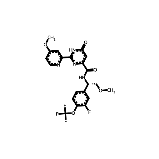 COC[C@@H](NC(=O)c1cc(=O)[nH]c(-c2cc(OC)ccn2)n1)c1ccc(OC(F)(F)F)c(F)c1